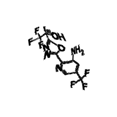 C[C@@](O)(c1nnc(-c2ncc(C(F)(F)F)cc2N)o1)C(F)(F)F